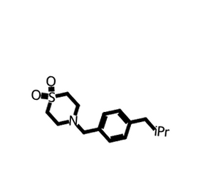 CC(C)Cc1ccc(CN2CCS(=O)(=O)CC2)cc1